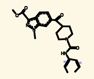 C/C=C\C(=C/C)NC(=O)N1CCC(C(=O)c2ccc3c(C(=O)OC)nn(C)c3c2)CC1